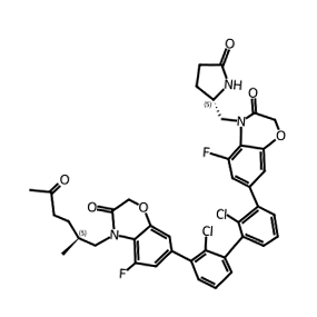 CC(=O)CC[C@H](C)CN1C(=O)COc2cc(-c3cccc(-c4cccc(-c5cc(F)c6c(c5)OCC(=O)N6C[C@@H]5CCC(=O)N5)c4Cl)c3Cl)cc(F)c21